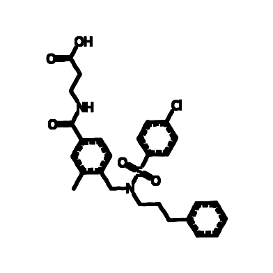 Cc1cc(C(=O)NCCC(=O)O)ccc1CN(CCCc1ccccc1)S(=O)(=O)c1ccc(Cl)cc1